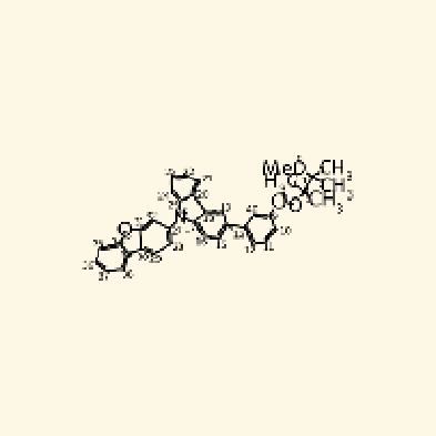 COC(C)(C)C(C)(C)OOc1cccc(-c2ccc3c(c2)c2ccccc2n3-c2ccc3c(c2)oc2ccccc23)c1